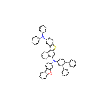 c1ccc(-c2ccc(N(c3ccc4c(c3)oc3ccccc34)c3cc4sc5ccc(N(c6ccccc6)c6ccccc6)cc5c4c4ccccc34)cc2-c2ccccc2)cc1